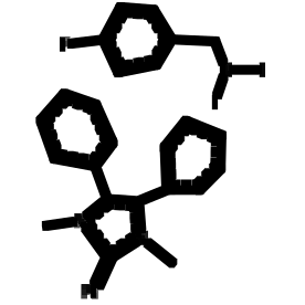 Cn1c(-c2ccccc2)c(-c2ccccc2)n(C)[c]1=[Pt].Fc1ccc(CN(I)I)cc1